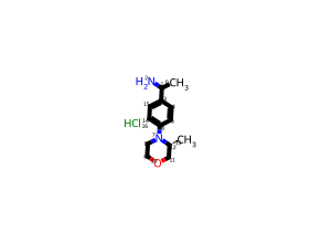 CC(N)c1ccc(N2CCOC[C@H]2C)cc1.Cl